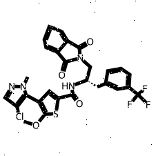 COc1sc(C(=O)N[C@@H](Cc2cccc(C(F)(F)F)c2)CN2C(=O)c3ccccc3C2=O)cc1-c1c(Cl)cnn1C